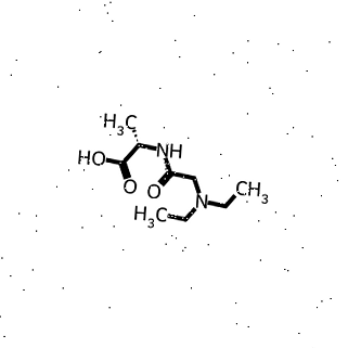 CCN(CC)CC(=O)N[C@@H](C)C(=O)O